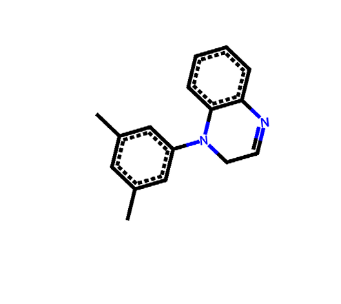 Cc1cc(C)cc(N2CC=Nc3ccccc32)c1